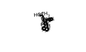 C[C@H](CO)COc1nc(N2CC3CCC(C2)N3)c2cnc(-c3cccc4cccc(Cl)c34)c(F)c2n1